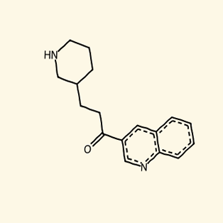 O=C(CCC1CCCNC1)c1cnc2ccccc2c1